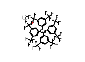 FC(F)(F)c1cc(C(F)(F)F)c[c]([Ga-]([c]2cc(C(F)(F)F)cc(C(F)(F)F)c2)([c]2cc(C(F)(F)F)cc(C(F)(F)F)c2)[c]2cc(C(F)(F)F)cc(C(F)(F)F)c2)c1.[Li+]